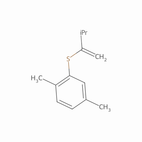 C=C(Sc1cc(C)ccc1C)C(C)C